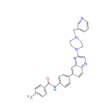 O=C(Nc1ccc(-c2ccc3ncc(N4CCN(Cc5cccnc5)CC4)nc3c2)cc1)c1ccc(C(F)(F)F)cc1